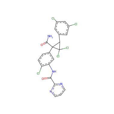 NC(=O)C1(c2ccc(Cl)c(NC(=O)c3ncccn3)c2)C(c2cc(Cl)cc(Cl)c2)C1(Cl)Cl